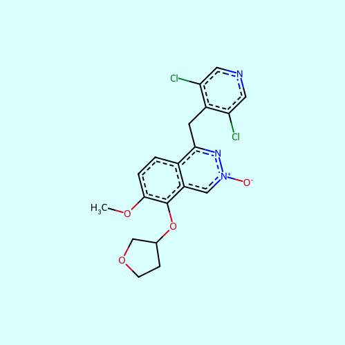 COc1ccc2c(Cc3c(Cl)cncc3Cl)n[n+]([O-])cc2c1OC1CCOC1